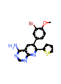 COc1ccc(-c2cc3c(N)ncnc3nc2-c2cccs2)cc1Br